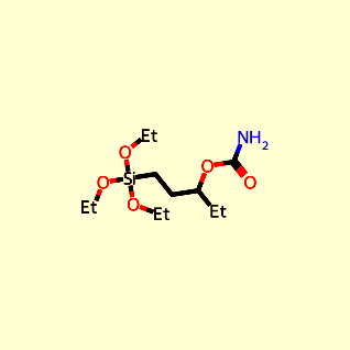 CCO[Si](CCC(CC)OC(N)=O)(OCC)OCC